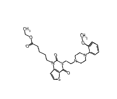 CCOC(=O)CCCCn1c(=O)n(CCN2CCN(c3ccccc3OC)CC2)c(=O)c2sccc21